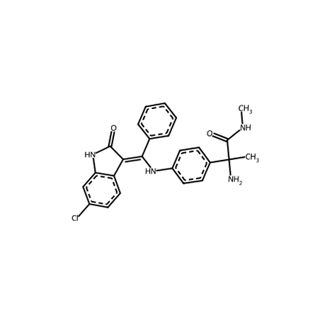 CNC(=O)C(C)(N)c1ccc(NC(=C2C(=O)Nc3cc(Cl)ccc32)c2ccccc2)cc1